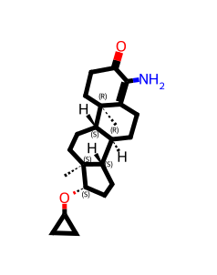 C[C@]12CC[C@H]3[C@@H](CCC4=C(N)C(=O)CC[C@@]43C)[C@@H]1CC[C@@H]2OC1CC1